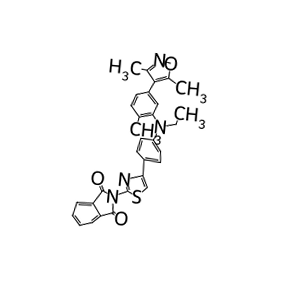 CCN(c1ccc(-c2csc(N3C(=O)c4ccccc4C3=O)n2)cc1)c1cc(-c2c(C)noc2C)ccc1C